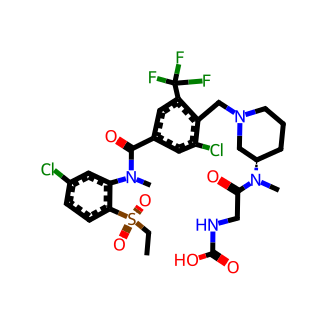 CCS(=O)(=O)c1ccc(Cl)cc1N(C)C(=O)c1cc(Cl)c(CN2CCC[C@H](N(C)C(=O)CNC(=O)O)C2)c(C(F)(F)F)c1